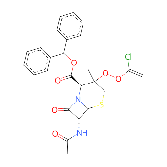 C=C(Cl)OOC1(C)CSC2[C@H](NC(C)=O)C(=O)N2[C@H]1C(=O)OC(c1ccccc1)c1ccccc1